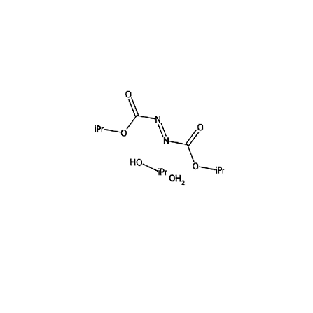 CC(C)O.CC(C)OC(=O)N=NC(=O)OC(C)C.O